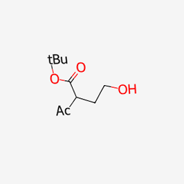 CC(=O)C(CCO)C(=O)OC(C)(C)C